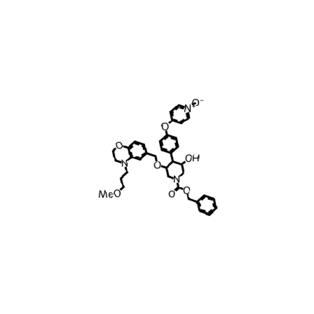 COCCCN1CCOc2ccc(COC3CN(C(=O)OCc4ccccc4)CC(O)C3c3ccc(Oc4cc[n+]([O-])cc4)cc3)cc21